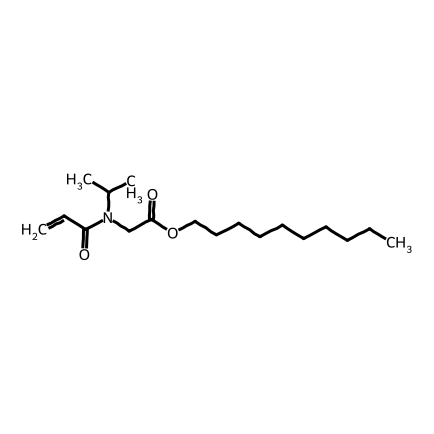 C=CC(=O)N(CC(=O)OCCCCCCCCCC)C(C)C